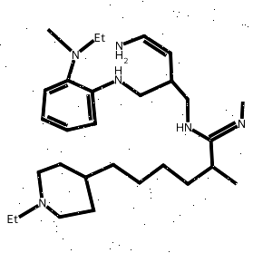 CCN1CCC(CCCCC(C)/C(=N/C)NCC(/C=C\N)CNc2ccccc2N(C)CC)CC1